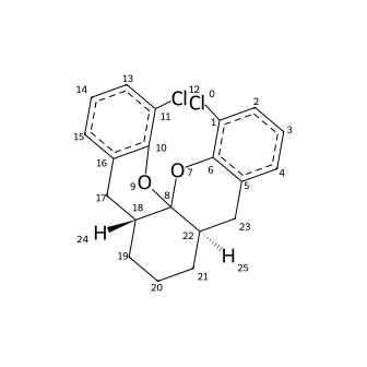 Clc1cccc2c1OC13Oc4c(Cl)cccc4C[C@H]1CCC[C@@H]3C2